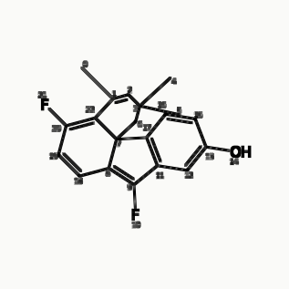 CC1=CC(C)(C)CC23C(=C(F)c4cc(O)ccc42)C=CC(F)=C13